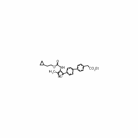 CCOC(=O)Cc1ccc(-c2ccc(-c3onc(C)c3NC(=O)OCCC3CC3)cc2)cc1